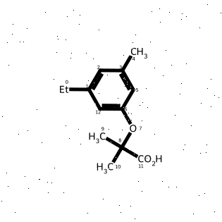 CCc1cc(C)cc(OC(C)(C)C(=O)O)c1